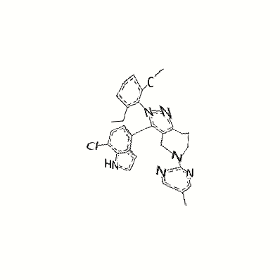 CCc1cccc(CC)c1-n1nc2c(c1-c1ccc(Cl)c3[nH]ccc13)CN(c1ncc(C)cn1)CC2